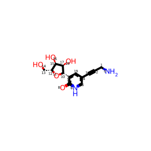 NCC#Cc1c[nH]c(=O)c([C@@H]2O[C@H](CO)[C@@H](O)[C@H]2O)c1